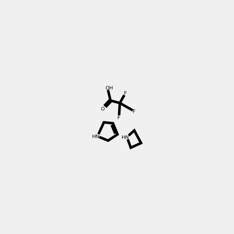 C1=CCNC1.C1CNC1.O=C(O)C(F)(F)F